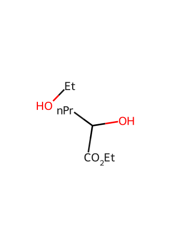 CCCC(O)C(=O)OCC.CCO